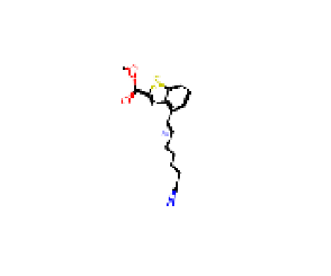 COC(=O)c1cc2c(/C=C/CCCCC#N)cccc2s1